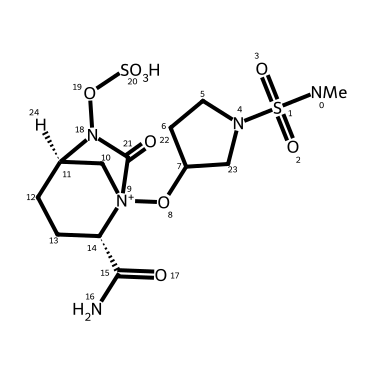 CNS(=O)(=O)N1CCC(O[N+]23C[C@@H](CC[C@H]2C(N)=O)N(OS(=O)(=O)O)C3=O)C1